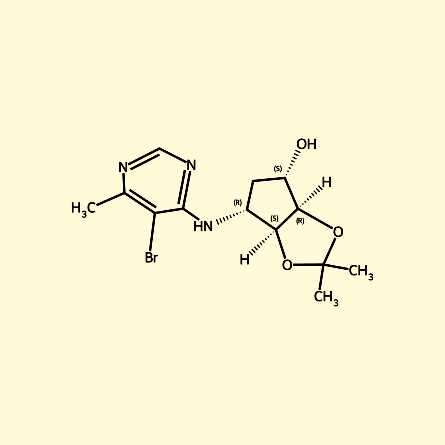 Cc1ncnc(N[C@@H]2C[C@H](O)[C@H]3OC(C)(C)O[C@H]32)c1Br